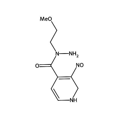 COCCN(N)C(=O)C1=C(N=O)CNC=C1